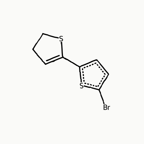 Brc1ccc(C2=CCCS2)s1